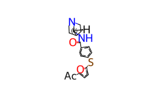 CC(=O)c1ccc(Sc2ccc(C(=O)N[C@H]3CN4CCC3CC4)cc2)o1